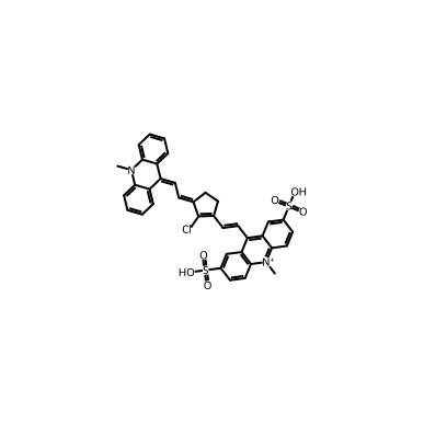 CN1c2ccccc2C(=C/C=C2\CCC(/C=C/c3c4cc(S(=O)(=O)O)ccc4[n+](C)c4ccc(S(=O)(=O)O)cc34)=C2Cl)c2ccccc21